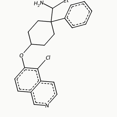 CCC(N)C1(c2ccccc2)CCC(Oc2ccc3cnccc3c2Cl)CC1